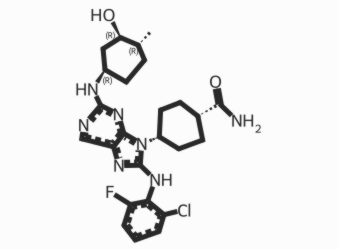 C[C@@H]1CC[C@@H](Nc2ncc3nc(Nc4c(F)cccc4Cl)n([C@H]4CC[C@@H](C(N)=O)CC4)c3n2)C[C@H]1O